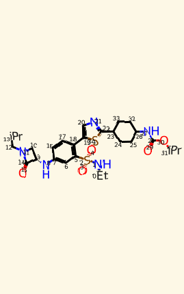 CCNS(=O)(=O)c1cc(N[C@H]2CN(CC(C)C)C2=O)ccc1-c1cnc(C2CCC(NC(=O)OC(C)C)CC2)s1